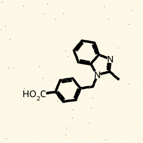 Cc1nc2ccccc2n1Cc1ccc(C(=O)O)cc1